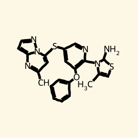 CC1=CSC(N)N1c1ncc(Sc2cc(C)nc3ccnn23)cc1Oc1ccccc1